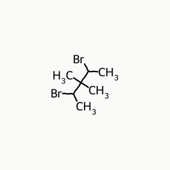 CC(Br)C(C)(C)C(C)Br